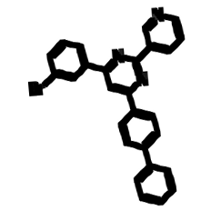 Brc1cccc(-c2cc(-c3ccc(-c4ccccc4)cc3)nc(-c3cccnc3)n2)c1